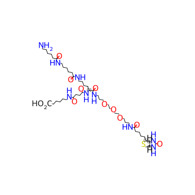 NCCCCCC(=O)NCCCCCC(=O)NCCCC[C@H](NC(=O)CCC(=O)NCCCCCC(=O)O)C(=O)NCCCOCCOCCOCCCNC(=O)CCCC[C@@H]1SC[C@@H]2NC(=O)N[C@@H]21